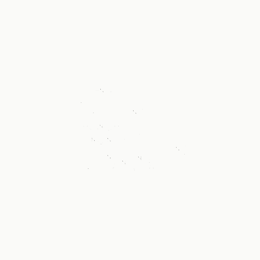 CC(C)NC(=O)NC1CC(C)(C)CC(C)(Cn2c(=O)n(CC3(C)CC(NC(=O)OCCN4CC4)CC(C)(C)C3)c(=O)n(CC3(C)CC(NC(=O)OCCN4CC4)CC(C)(C)C3)c2=O)C1